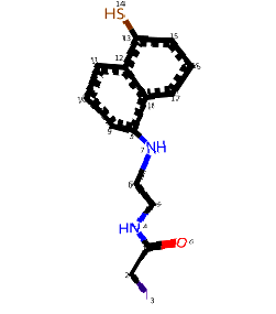 O=C(CI)NCCNc1cccc2c(S)cccc12